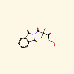 CC(C)(C(=O)CCO)C(=O)N1C(=O)c2ccccc2C1=O